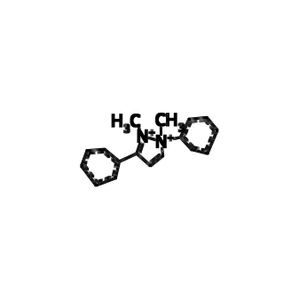 C[N+]1=C(c2ccccc2)C=C[N+]1(C)c1ccccc1